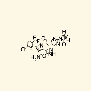 COCCC(c1cnc(N2C[C@H]3C[C@H]3C2=O)nc1)c1n[nH]cc1-c1ncc(-c2c(C(F)F)ccc(Cl)c2F)nc1C(N)=O